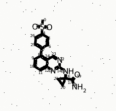 CS(=O)(=O)c1ccc(-c2cccc3nc(NC4(C(N)=O)CC4)ncc23)cc1